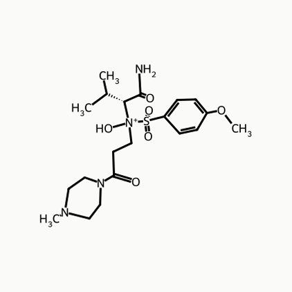 COc1ccc(S(=O)(=O)[N+](O)(CCC(=O)N2CCN(C)CC2)[C@@H](C(N)=O)C(C)C)cc1